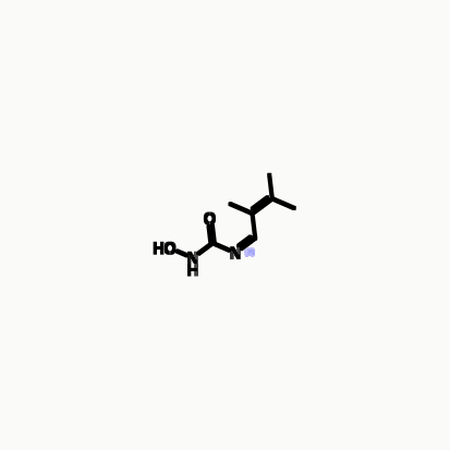 CC(C)=C(C)/C=N\C(=O)NO